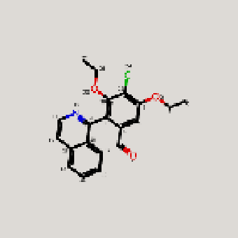 CCOc1cc(C=O)c(-c2nccc3ccccc23)c(OCC)c1Cl